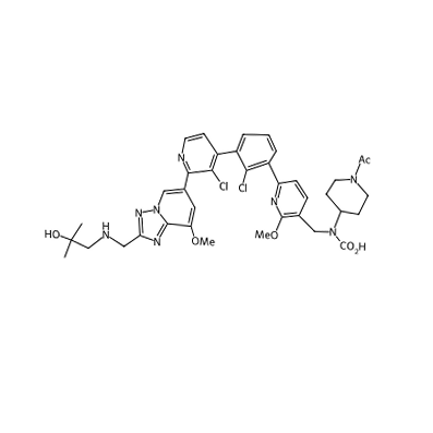 COc1nc(-c2cccc(-c3ccnc(-c4cc(OC)c5nc(CNCC(C)(C)O)nn5c4)c3Cl)c2Cl)ccc1CN(C(=O)O)C1CCN(C(C)=O)CC1